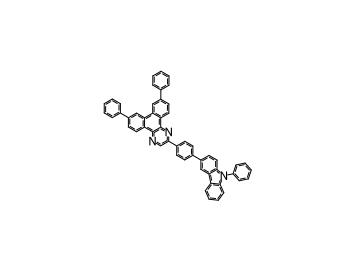 c1ccc(-c2ccc3c(c2)c2cc(-c4ccccc4)ccc2c2nc(-c4ccc(-c5ccc6c(c5)c5ccccc5n6-c5ccccc5)cc4)cnc32)cc1